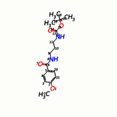 COc1ccc(C(=O)NCCCNC(=O)OC(C)(C)C)cc1